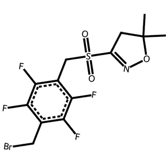 CC1(C)CC(S(=O)(=O)Cc2c(F)c(F)c(CBr)c(F)c2F)=NO1